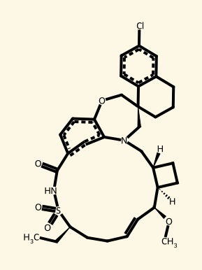 CC[C@@H]1CC/C=C/[C@H](OC)[C@@H]2CC[C@H]2CN2C[C@@]3(CCCc4cc(Cl)ccc43)COc3ccc(cc32)C(=O)NS1(=O)=O